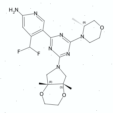 C[C@@H]1COCCN1c1nc(-c2cnc(N)cc2C(F)F)nc(N2C[C@@]3(C)OCCO[C@@]3(C)C2)n1